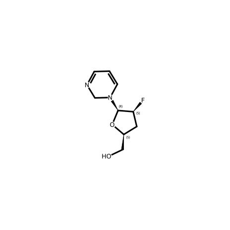 OC[C@@H]1C[C@H](F)[C@H](N2C=CC=NC2)O1